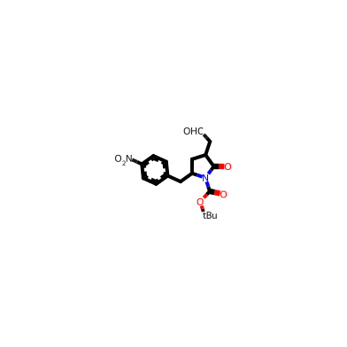 CC(C)(C)OC(=O)N1C(=O)C(CC=O)CC1Cc1ccc([N+](=O)[O-])cc1